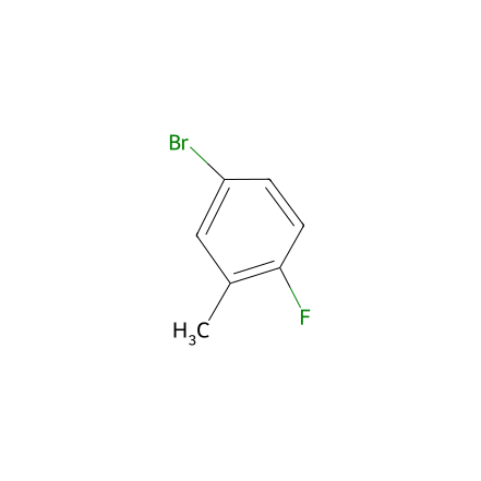 Cc1cc(Br)ccc1F